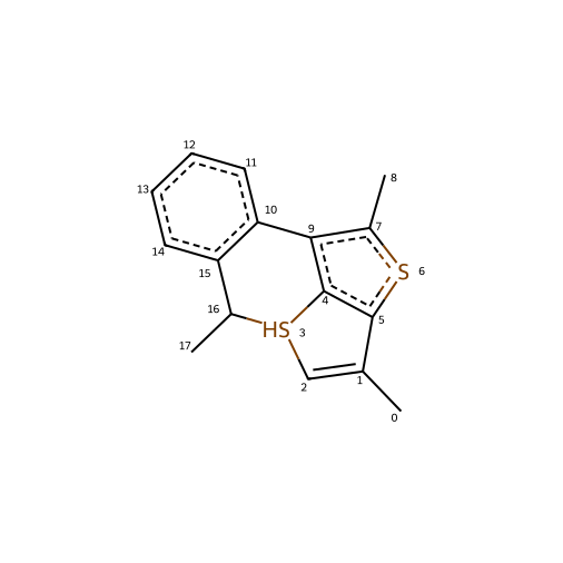 CC1=C[SH]2c3c1sc(C)c3-c1ccccc1C2C